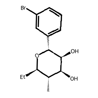 CC[C@H]1O[C@H](c2cccc(Br)c2)[C@@H](O)[C@@H](O)[C@@H]1C